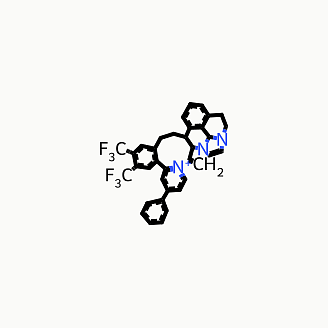 C=C1C2C(CCc3cc(C(F)(F)F)c(C(F)(F)F)cc3-c3cc(-c4ccccc4)cc[n+]31)c1cccc3c1C1N(C=CN21)CC3